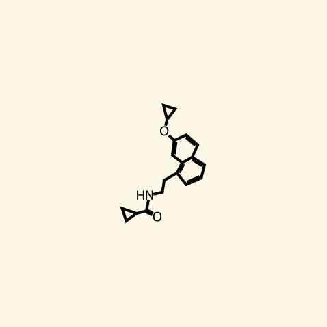 O=C(NCCc1cccc2ccc(OC3CC3)cc12)C1CC1